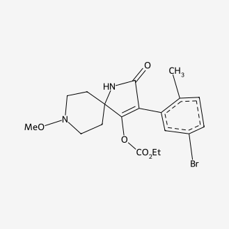 CCOC(=O)OC1=C(c2cc(Br)ccc2C)C(=O)NC12CCN(OC)CC2